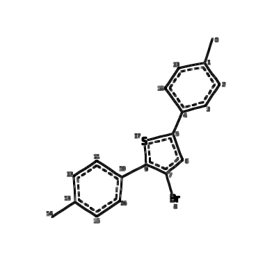 Cc1ccc(-c2cc(Br)c(-c3ccc(C)cc3)s2)cc1